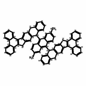 Cc1ccc2c(N3c4ccccc4Sc4cc5c(cc43)sc3c4ccccc4c4ccccc4c53)c3cc(C)ccc3c(N3c4ccccc4Sc4cc5c(cc43)sc3c4ccccc4c4ccccc4c53)c2c1